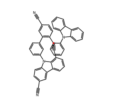 N#Cc1ccc(-c2ccccc2-n2c3ccccc3c3ccccc32)c(-c2cccc(-n3c4ccc(C#N)cc4c4cccc(C#N)c43)c2)c1